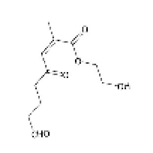 CC(=CC(=O)CCCC=O)C(=O)OCCO